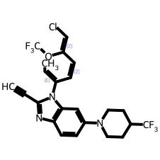 C#Cc1nc2ccc(N3CCC(C(F)(F)F)CC3)cc2n1C(/C=C\C(=C\Cl)OC(F)(F)F)=C/C